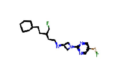 FCC(CCN=C1CN(c2ncc(SF)cn2)C1)CCC1CCCCC1